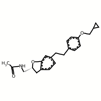 CC(=O)NC[C@H]1Cc2ccc(CCc3ccc(OCC4CC4)cc3)cc2O1